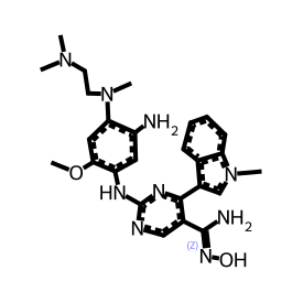 COc1cc(N(C)CCN(C)C)c(N)cc1Nc1ncc(/C(N)=N/O)c(-c2cn(C)c3ccccc23)n1